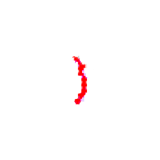 Cc1cc(-c2ccnc(Nc3ccc(C4CCN(C5CCN(C(=O)c6cccc(NC7CCC(=O)NC7=O)c6)CC5)CC4)cc3)n2)ccc1CNC(=O)N1CC(OC(C)C)C1